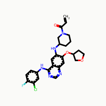 C=CC(=O)N1CCCC(Nc2cc3c(Nc4ccc(F)c(Cl)c4)ncnc3cc2OC2CCOC2)C1